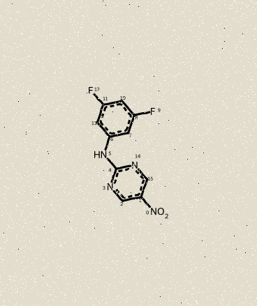 O=[N+]([O-])c1cnc(Nc2cc(F)cc(F)c2)nc1